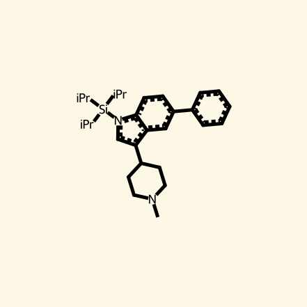 CC(C)[Si](C(C)C)(C(C)C)n1cc(C2CCN(C)CC2)c2cc(-c3ccccc3)ccc21